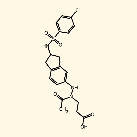 CC(=O)N(CCC(=O)O)Nc1ccc2c(c1)CC(NS(=O)(=O)c1ccc(Cl)cc1)C2